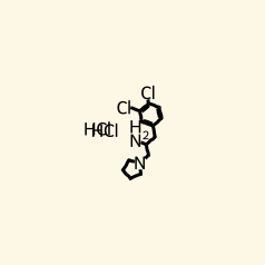 Cl.Cl.NC(Cc1ccc(Cl)c(Cl)c1)CN1CCCC1